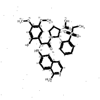 CCS(=O)(=O)c1ccccc1[C@H]1[C@@H](C(=O)O)CCN1C(=O)[C@H](Nc1ccc2c(N)nccc2c1)c1cc(OC)c(OC)cc1F